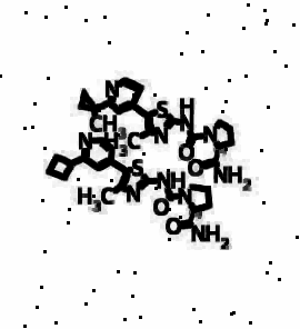 Cc1nc(NC(=O)N2CCC[C@H]2C(N)=O)sc1-c1ccnc(C2(C)CC2)c1.Cc1nc(NC(=O)N2CCC[C@H]2C(N)=O)sc1-c1ccnc(C2CCC2)c1